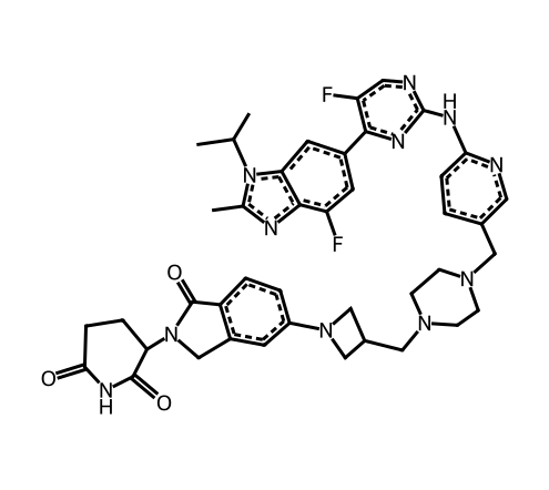 Cc1nc2c(F)cc(-c3nc(Nc4ccc(CN5CCN(CC6CN(c7ccc8c(c7)CN(C7CCC(=O)NC7=O)C8=O)C6)CC5)cn4)ncc3F)cc2n1C(C)C